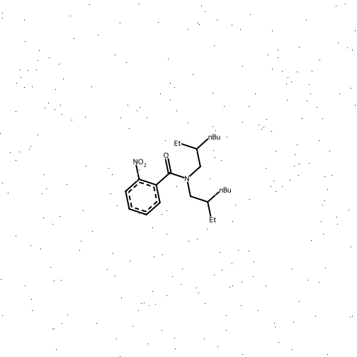 CCCCC(CC)CN(CC(CC)CCCC)C(=O)c1ccccc1[N+](=O)[O-]